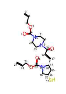 C=CCOC(=O)N1CCN(C(=O)C=C[C@@H]2C[C@H](S)CN2C(=O)OCC=C)CC1